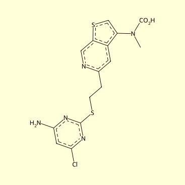 CN(C(=O)O)c1csc2cnc(CCSc3nc(N)cc(Cl)n3)cc12